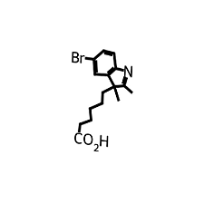 CC1=Nc2ccc(Br)cc2C1(C)CCCCCC(=O)O